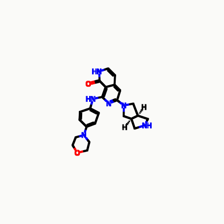 O=c1[nH]ccc2cc(N3C[C@H]4CNC[C@H]4C3)nc(Nc3ccc(N4CCOCC4)cc3)c12